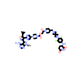 CC(C)n1nc(-c2noc(C3CC3)c2-c2ncc(N3CCN(C(=O)OCC(=O)N4CCC(CN5CC6(C5)CN(c5c(F)cc(NC7CCC(=O)NC7=O)cc5F)C6)CC4)CC3)cn2)c2c(N)ncnc21